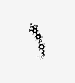 CCCC[C@H]1CC[C@H](COc2ccc(-c3cc(F)c(C(F)(F)F)c(F)c3)cc2)CC1